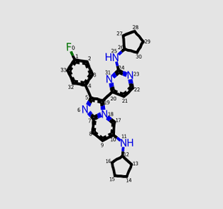 Fc1ccc(-c2nc3ccc(NC4CCCC4)cn3c2-c2ccnc(NC3CCCC3)n2)cc1